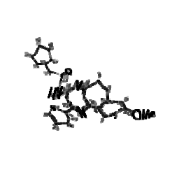 COc1ccc2c(c1)CCc1nc(NC(=O)CC3CCCCC3)c(C3CC=CS3)nc1-2